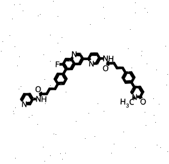 Cn1cc(-c2ccc(CCCC(=O)Nc3ccc(-c4cnc5cc(F)c(-c6ccc(CCCC(=O)Nc7cccnc7)cc6)cc5c4)nc3)cc2)ccc1=O